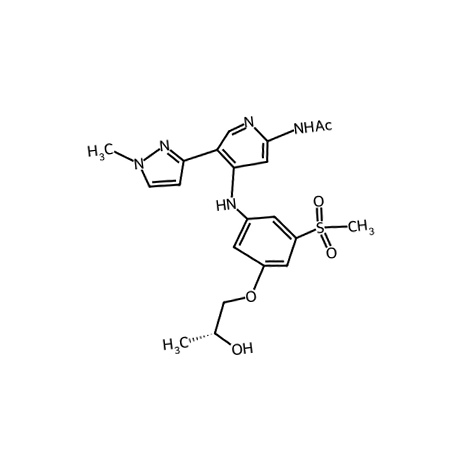 CC(=O)Nc1cc(Nc2cc(OC[C@@H](C)O)cc(S(C)(=O)=O)c2)c(-c2ccn(C)n2)cn1